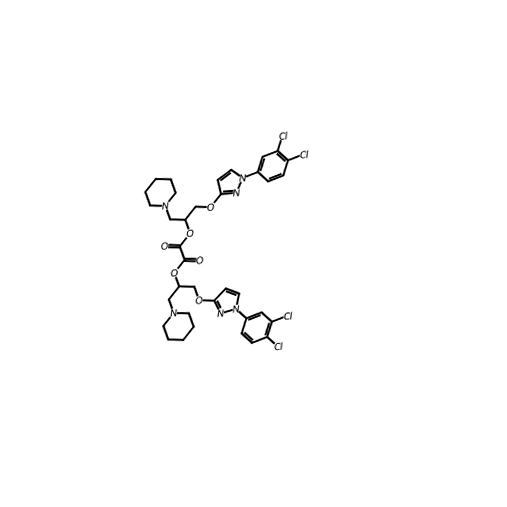 O=C(OC(COc1ccn(-c2ccc(Cl)c(Cl)c2)n1)CN1CCCCC1)C(=O)OC(COc1ccn(-c2ccc(Cl)c(Cl)c2)n1)CN1CCCCC1